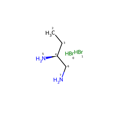 Br.Br.CC[C@H](N)CN